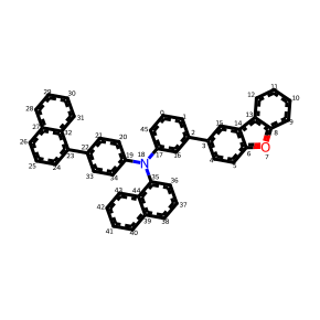 c1cc(-c2ccc3oc4ccccc4c3c2)cc(N(c2ccc(-c3cccc4ccccc34)cc2)c2cccc3ccccc23)c1